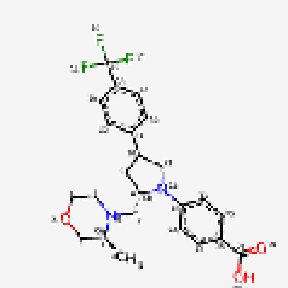 C[C@H]1COCCN1C[C@@H]1CC(c2ccc(C(F)(F)F)cc2)CN1c1ccc(C(=O)O)cc1